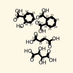 O=C(O)C(O)C(O)C(=O)O.O=C(O)C=CC(=O)O.O=C(O)c1ccccc1C(=O)O.O=C(O)c1ccccc1O